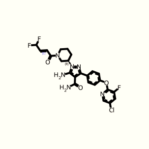 NC(=O)c1c(-c2ccc(Oc3ncc(Cl)cc3F)cc2)nn([C@@H]2CCCN(C(=O)/C=C/C(F)F)C2)c1N